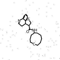 O=C(NC1CCCCCCCCC1)C1CSC23CC=CC=C2N=CCC13